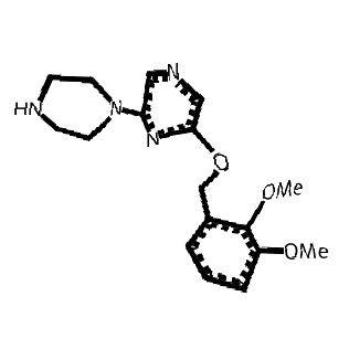 COc1cccc(COc2cncc(N3CCNCC3)n2)c1OC